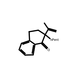 C=C(C)C1(CCCCC)CCc2ccccc2C1=O